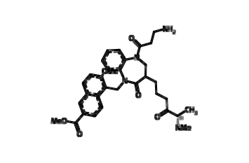 CN[C@@H](C)C(=O)CCCC1CN(C(=O)CCN)c2ccccc2N(Cc2c(OC)ccc3cc(C(=O)OC)ccc23)C1=O